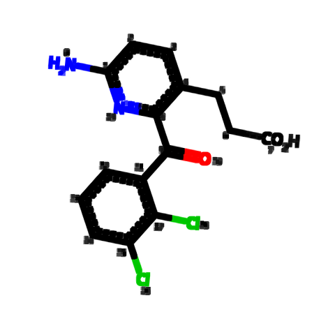 Nc1ccc(CCC(=O)O)c(C(=O)c2cccc(Cl)c2Cl)n1